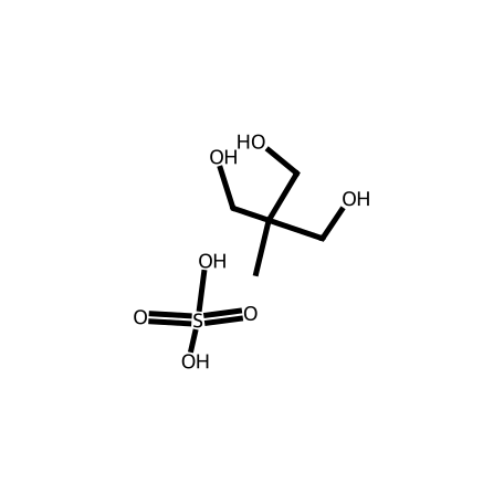 CC(CO)(CO)CO.O=S(=O)(O)O